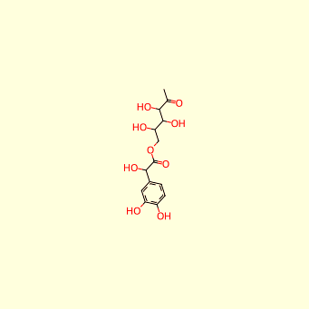 CC(=O)C(O)C(O)C(O)COC(=O)C(O)c1ccc(O)c(O)c1